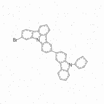 Brc1ccc2c3cccc4c5cc(-c6ccc7c(c6)c6ccccc6n7-c6ccccc6)ccc5n(c2c1)c43